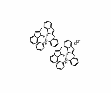 CC1=Cc2ccccc2[CH]1[Hf+]([CH]1C(C)=Cc2ccccc21)[SiH](c1ccccc1)c1ccccc1.CC1=Cc2ccccc2[CH]1[Hf+]([CH]1C(C)=Cc2ccccc21)[SiH](c1ccccc1)c1ccccc1.[Cl-].[Cl-]